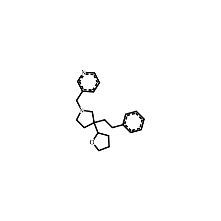 c1ccc(CCC2(C3CCCO3)CCN(Cc3cccnc3)C2)cc1